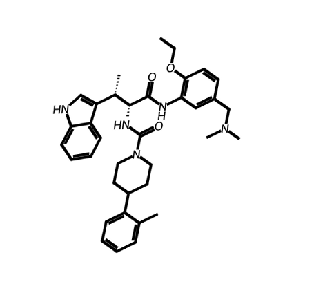 CCOc1ccc(CN(C)C)cc1NC(=O)[C@H](NC(=O)N1CCC(c2ccccc2C)CC1)[C@@H](C)c1c[nH]c2ccccc12